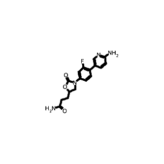 NC(=O)CCC1CN(c2ccc(-c3ccc(N)nc3)c(F)c2)C(=O)O1